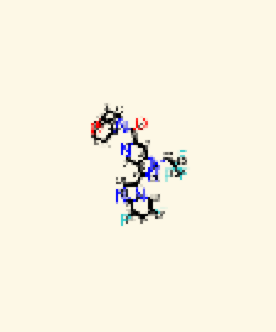 O=C(C1=CC2C(C=N1)C(c1cnc3c(F)cc(F)cn13)=NN2CC(F)(F)F)N1C2CC3CC1CC(C2)O3